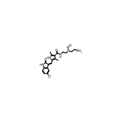 Cc1[nH]c(/C=C2\C(=O)Nc3ccc(Cl)cc32)c(C)c1C(=O)NCCN(CCN)N=O